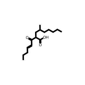 CCCC=CC(=O)C(CC(C)CCCCC)C(=O)O